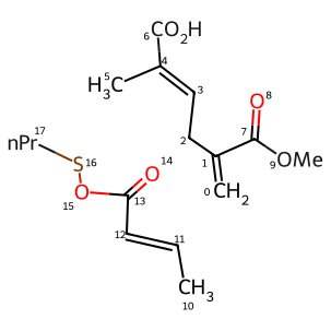 C=C(CC=C(C)C(=O)O)C(=O)OC.CC=CC(=O)OSCCC